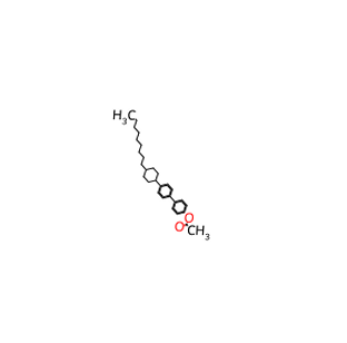 CCCCCCCCCC1CCC(c2ccc(-c3ccc(OC(C)=O)cc3)cc2)CC1